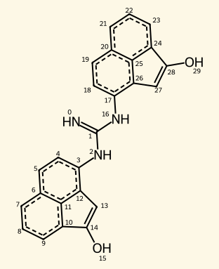 N=C(Nc1ccc2cccc3c2c1C=C3O)Nc1ccc2cccc3c2c1C=C3O